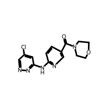 O=C(c1ccc(Nc2cc(Cl)cnn2)nc1)N1CCOCC1